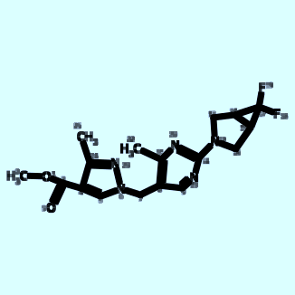 COC(=O)c1cn(Cc2cnc(N3CC4C(C3)C4(F)F)nc2C)nc1C